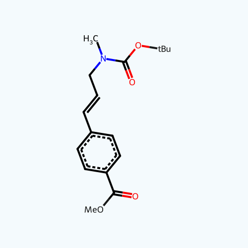 COC(=O)c1ccc(/C=C/CN(C)C(=O)OC(C)(C)C)cc1